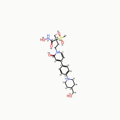 C[C@@](CCn1ccc(-c2ccc(N3CCC(CO)CC3)cc2)cc1=O)(C(=O)NO)S(C)(=O)=O